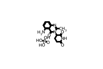 Cc1nc2cccc(N)c2c(=O)n1C1CCC(=O)NC1=O.O=P(O)(O)O